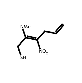 C=CCC(=C(CS)NC)[N+](=O)[O-]